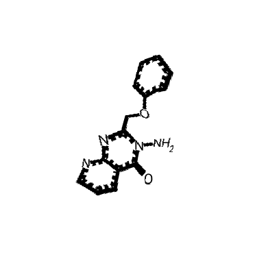 Nn1c(COc2ccccc2)nc2ncccc2c1=O